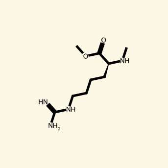 CN[C@@H](CCCCNC(=N)N)C(=O)OC